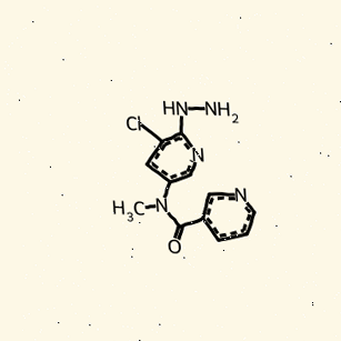 CN(C(=O)c1cccnc1)c1cnc(NN)c(Cl)c1